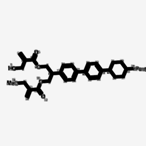 C=C(CO)C(=O)OCC(COC(=O)C(=C)COC)c1ccc(-c2ccc(C3CCC(CCCCC)CC3)cc2)cc1